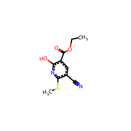 CCOC(=O)c1cc(C#N)c(SC)nc1O